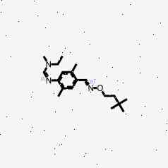 CCN(C)/C=N\c1cc(C)c(/C=N/OCCC(C)(C)C)cc1C